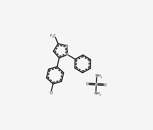 FC(F)(F)c1cc(-c2ccc(Cl)cc2)n(-c2ccccc2)n1.NS(N)(=O)=O